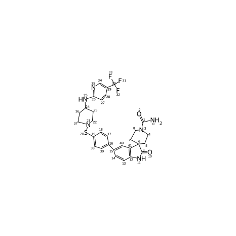 NC(=O)N1CCC2(CC1)C(=O)Nc1ccc(-c3ccc(SN4CCC(Nc5ccc(C(F)(F)F)cn5)CC4)cc3)cc12